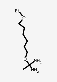 CCOCCCCCCOC(C)(N)N